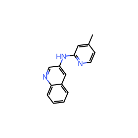 Cc1ccnc(Nc2cnc3ccccc3c2)c1